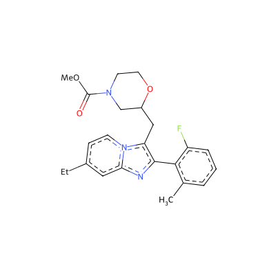 CCc1ccn2c(CC3CN(C(=O)OC)CCO3)c(-c3c(C)cccc3F)nc2c1